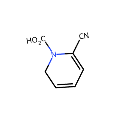 N#CC1=CC=CCN1C(=O)O